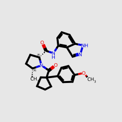 COc1ccc(C2(C(=O)N3[C@H](C)CC[C@@H]3C(=O)Nc3cccc4[nH]ncc34)CCCC2)cc1